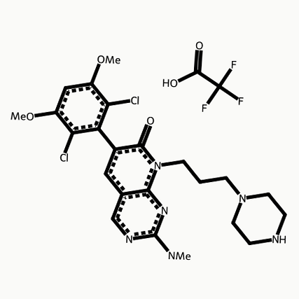 CNc1ncc2cc(-c3c(Cl)c(OC)cc(OC)c3Cl)c(=O)n(CCCN3CCNCC3)c2n1.O=C(O)C(F)(F)F